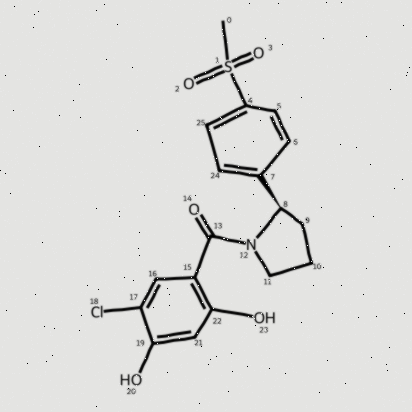 CS(=O)(=O)c1ccc([C@H]2CCCN2C(=O)c2cc(Cl)c(O)cc2O)cc1